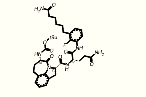 CC(C)(C)OC(=O)N[C@H]1CCc2cccc3c2N(C1=O)[C@H](C(=O)N[C@@H](CCC(N)=O)C(=O)Nc1cccc(CCCCCC(N)=O)c1F)C3